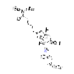 CCCC[C@H](C)C[C@H](O)/C=C/[C@@H]1[C@H]2CC(CCCCC(=O)N(CCCC)CCCC)=C[C@H]2C[C@H]1O